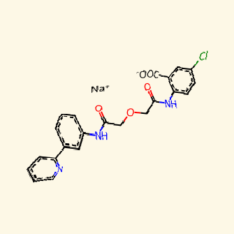 O=C(COCC(=O)Nc1ccc(Cl)cc1C(=O)[O-])Nc1cccc(-c2ccccn2)c1.[Na+]